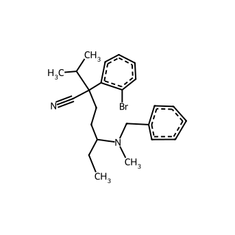 CCC(CCC(C#N)(c1ccccc1Br)C(C)C)N(C)Cc1ccccc1